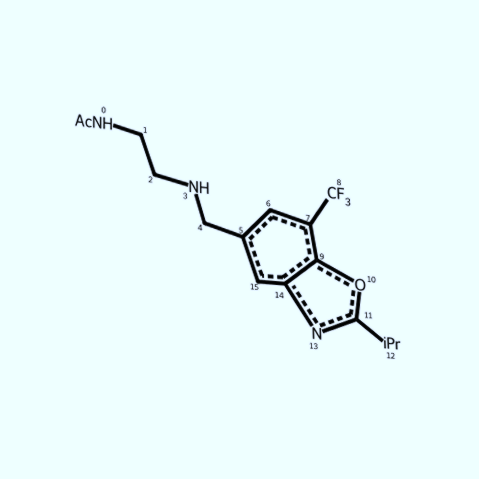 CC(=O)NCCNCc1cc(C(F)(F)F)c2oc(C(C)C)nc2c1